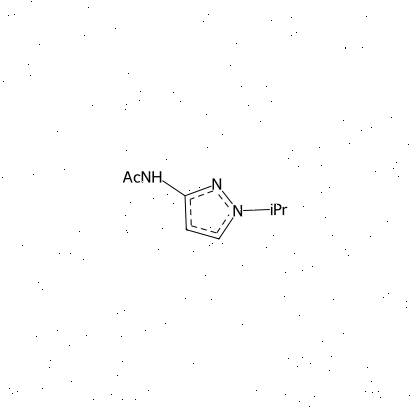 CC(=O)Nc1ccn(C(C)C)n1